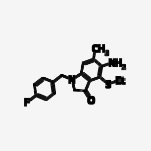 CCSc1c(N)c(C)cc2c1C(=O)CN2Cc1ccc(F)cc1